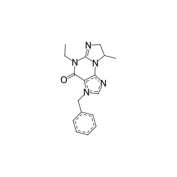 CCN1C(=O)c2c(ncn2Cc2ccccc2)N2C1=NCC2C